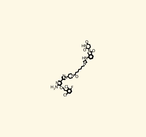 Nc1ncc(-c2cnn(C3CCN(C(=O)CCCCCCN4CC(Nc5cccc6c5CN([C@@H]5CCC(=O)NC5=O)C6=O)C4)CC3)c2)cc1OCCc1c(Cl)ccc(F)c1Cl